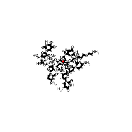 CO[C@H]1C(OP(=O)(S)OC[C@H]2O[C@@H](n3cnc4c(=O)[nH]c(N)nc43)CC2OP(=O)(S)OC[C@H]2O[C@@H](n3cc(C)c(=O)[nH]c3=O)CC2OP(=S)(OCCOCCOCCNC(=O)CCOCCN)OC[C@H]2O[C@@H](n3ccc(N)nc3=O)CC2C(C)C)[C@@H](COP(=O)(S)OC2[C@@H](CO)O[C@@H](n3cc(Br)c(=O)[nH]c3=O)[C@H]2OC)O[C@H]1n1ccc(N)nc1=O